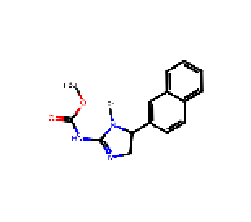 CCCCOC(=O)NC1=NCC(c2ccc3ccccc3c2)N1CC